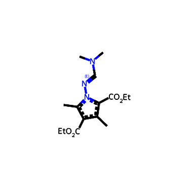 CCOC(=O)c1c(C)c(C(=O)OCC)n(/N=C/N(C)C)c1C